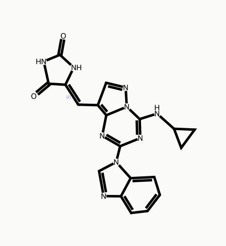 O=C1NC(=O)/C(=C/c2cnn3c(NC4CC4)nc(-n4cnc5ccccc54)nc23)N1